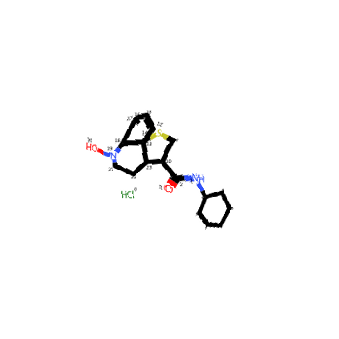 Cl.O=C(NC1CCCCC1)C1CSC23C=CC=CC2N(O)CCC13